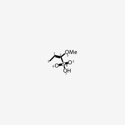 C/C=C(/OC)S(=O)(=O)O